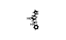 O=C(NC1CCCCC1)Oc1cnc(-n2cccn2)nc1O